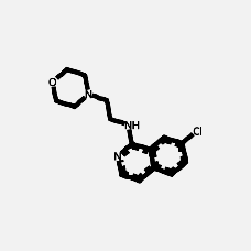 Clc1ccc2ccnc(NCCN3CCOCC3)c2c1